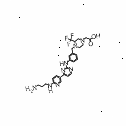 NCCCNc1ccc(-c2ccnc(Nc3cccc(CN4CCN(CC(=O)O)CC4C(F)(F)F)c3)n2)cn1